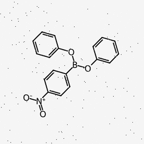 O=[N+]([O-])c1ccc(B(Oc2ccccc2)Oc2ccccc2)cc1